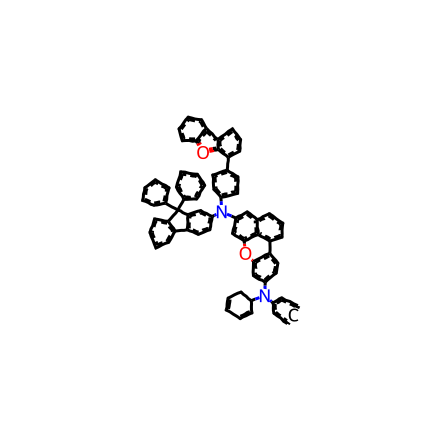 C1=CCC(N(c2ccccc2)c2ccc3c(c2)Oc2cc(N(c4ccc(-c5cccc6c5oc5ccccc56)cc4)c4ccc5c(c4)C(c4ccccc4)(c4ccccc4)c4ccccc4-5)cc4cccc-3c24)C=C1